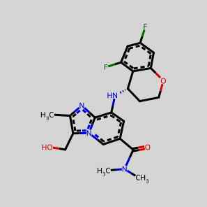 Cc1nc2c(N[C@H]3CCOc4cc(F)cc(F)c43)cc(C(=O)N(C)C)cn2c1CO